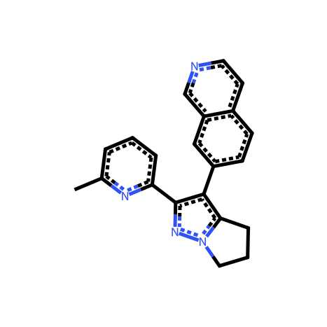 Cc1cccc(-c2nn3c(c2-c2ccc4ccncc4c2)CCC3)n1